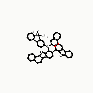 CC1(C)c2ccccc2-c2ccc(N(c3ccc4ccccc4c3)c3c(-c4cccc5c4oc4ccccc45)ccc4c3oc3c5ccccc5ccc43)cc21